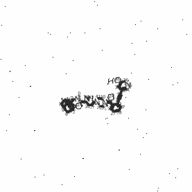 CN(CC12CC3CC(CC(C3)C1)C2)C(=O)c1ccc(N2CCN(C(=O)c3ccccc3C#Cc3cncc(O)c3)CC2)nn1